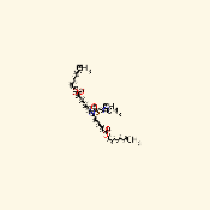 CCCCCC/C=C\COC(=O)/C=C/CCCCCN(CCCCCCCC(=O)OC/C=C\CCCCCC)C(=O)SCCN(C)C